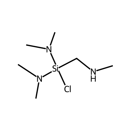 CNC[Si](Cl)(N(C)C)N(C)C